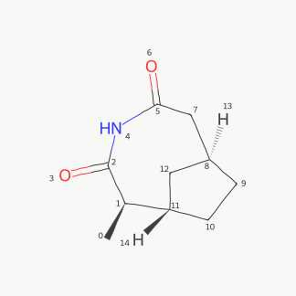 C[C@H]1C(=O)NC(=O)C[C@H]2CC[C@H]1C2